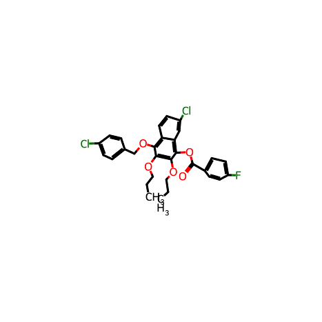 CCCOc1c(OCCC)c(OC(=O)c2ccc(F)cc2)c2cc(Cl)ccc2c1OCc1ccc(Cl)cc1